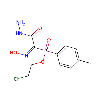 Cc1ccc(P(=O)(OCCCl)/C(=N/O)C(=O)NN)cc1